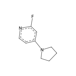 Fc1cc(N2CCCC2)ccn1